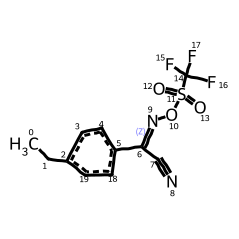 CCc1ccc(/C(C#N)=N/OS(=O)(=O)C(F)(F)F)cc1